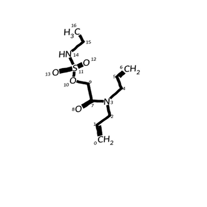 C=CCN(CC=C)C(=O)COS(=O)(=O)NCC